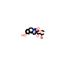 CCOC(=O)C1(C(=O)CC(C)OC)CC2(C)C3Cc4ccc(O)cc4C2(C)CC1N3C